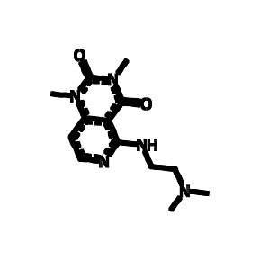 CN(C)CCNc1nccc2c1c(=O)n(C)c(=O)n2C